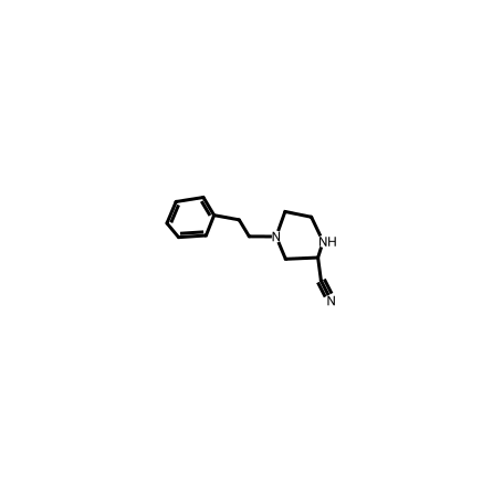 N#CC1CN(CCc2ccccc2)CCN1